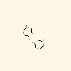 Oc1cccc(Nc2ccc(Cl)cc2)c1